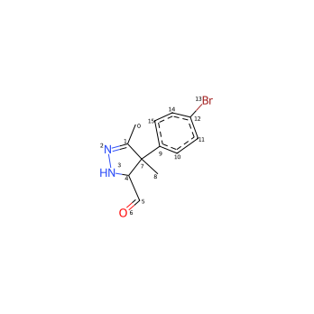 CC1=NNC(C=O)C1(C)c1ccc(Br)cc1